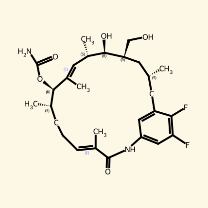 C/C1=C\CC[C@H](C)[C@@H](OC(N)=O)/C(C)=C/[C@H](C)[C@@H](O)[C@@H](CO)C[C@H](C)Cc2cc(cc(F)c2F)NC1=O